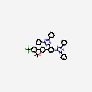 CC1(C)Oc2cc(-c3ccc(-c4nc(-c5ccccc5)nc(-c5ccccc5)n4)cc3-c3nc(-c4ccccc4)nc(-c4ccccc4)n3)ccc2-c2ccc(C(F)(F)F)cc21